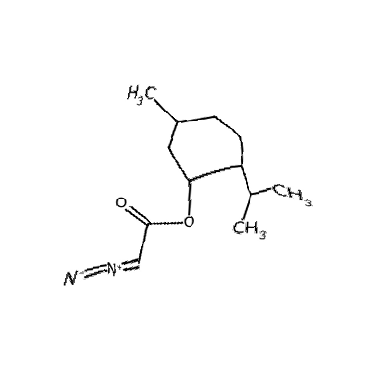 CC1CCC(C(C)C)C(OC(=O)C=[N+]=[N-])C1